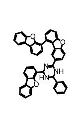 c1ccc(C2NC(c3ccc4oc5cccc(-c6cccc7c6oc6ccccc67)c5c4c3)=NC(c3cccc4c3oc3ccccc34)N2)cc1